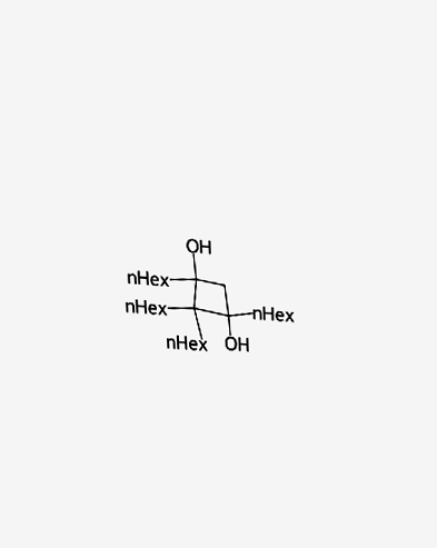 CCCCCCC1(O)CC(O)(CCCCCC)C1(CCCCCC)CCCCCC